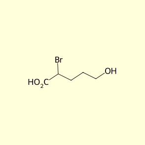 O=C(O)C(Br)CCCO